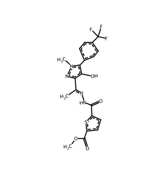 COC(=O)c1ccc(C(=O)NN=C(C)c2nn(C)c(-c3ccc(C(F)(F)F)cc3)c2O)s1